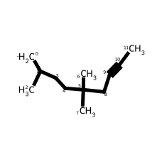 [CH2]C(C)CCC(C)(C)CC#CC